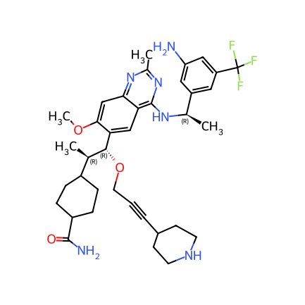 COc1cc2nc(C)nc(N[C@H](C)c3cc(N)cc(C(F)(F)F)c3)c2cc1[C@H](OCC#CC1CCNCC1)[C@H](C)C1CCC(C(N)=O)CC1